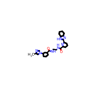 Cc1cn(-c2cccc(C(=O)NCCNC(=O)c3cccc(-c4nc5ccccc5[nH]4)n3)c2)cn1